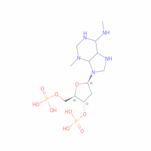 CNC1NCN(C)C2C1NCN2[C@H]1C[C@H](OP(=O)(O)O)[C@@H](COP(=O)(O)O)O1